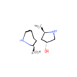 O=C(O)[C@@H]1CCCN1.O=C(O)[C@@H]1C[C@@H](O)CN1